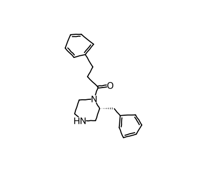 O=C(CCc1ccccc1)N1CCNC[C@H]1Cc1ccccc1